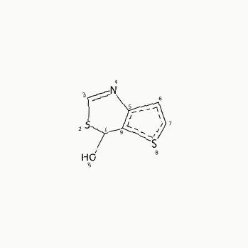 OC1SC=Nc2ccsc21